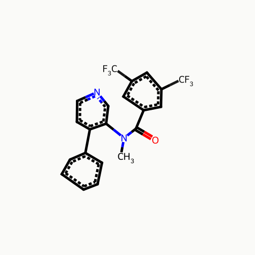 CN(C(=O)c1cc(C(F)(F)F)cc(C(F)(F)F)c1)c1cnccc1-c1ccccc1